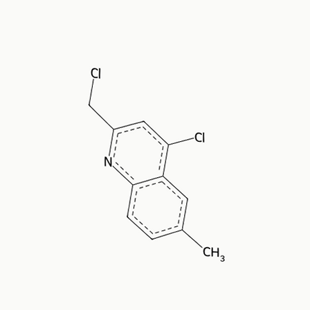 Cc1ccc2nc(CCl)cc(Cl)c2c1